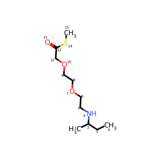 CCC(C)NCCOCCOCC(=O)SC